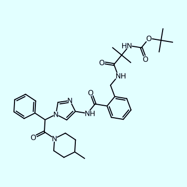 CC1CCN(C(=O)C(c2ccccc2)n2cnc(NC(=O)c3ccccc3CNC(=O)C(C)(C)NC(=O)OC(C)(C)C)c2)CC1